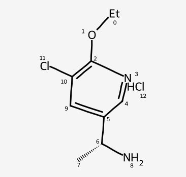 CCOc1ncc([C@@H](C)N)cc1Cl.Cl